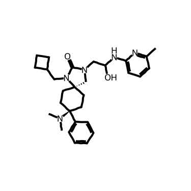 Cc1cccc(NC(O)CN2C[C@]3(CC[C@](c4ccccc4)(N(C)C)CC3)N(CC3CCC3)C2=O)n1